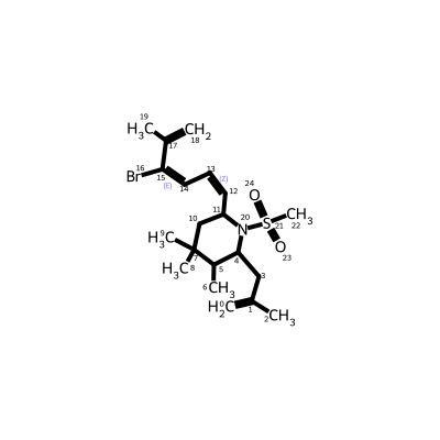 C=C(C)CC1C(C)C(C)(C)CC(/C=C\C=C(\Br)C(=C)C)N1S(C)(=O)=O